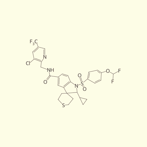 O=C(NCc1ncc(C(F)(F)F)cc1Cl)c1ccc2c(c1)C1(CCSCC1)C(C1CC1)N2S(=O)(=O)c1ccc(OC(F)F)cc1